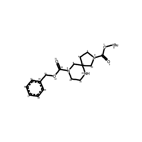 CC(C)(C)OC(=O)N1CCC2(CN(C(=O)OCc3ccccc3)CCN2)C1